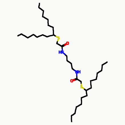 CCCCCCCC(CCCCCCC)SCC(=O)NCCCCNC(=O)CSC(CCCCCCC)CCCCCCC